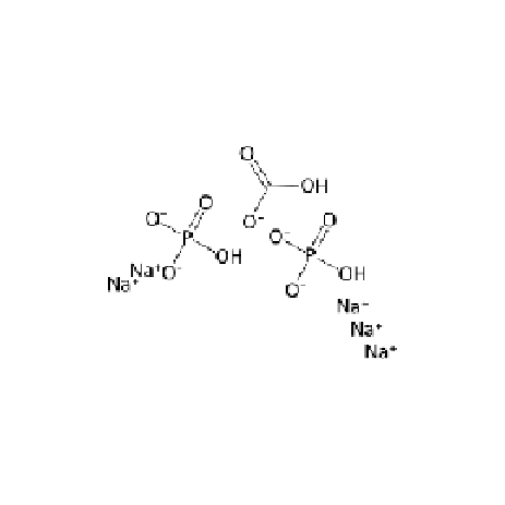 O=C([O-])O.O=P([O-])([O-])O.O=P([O-])([O-])O.[Na+].[Na+].[Na+].[Na+].[Na+]